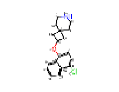 Clc1ccc(OC2CC3(CCNCC3)C2)c2ccccc12